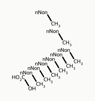 CCCCCCCCCC.CCCCCCCCCC.CCCCCCCCCC.CCCCCCCCCC.CCCCCCCCCC.CCCCCCCCCC.CCCCCCCCCC.CCCCCCCCCC.O=C(O)O